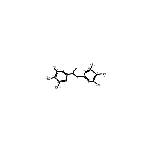 CCc1cc(CC(Br)c2cc(CC)c(O)c(CC)c2)cc(CC)c1O